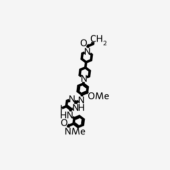 C=CC(=O)N1CCC(C2CCN(c3ccc(Nc4ncc(I)c(Nc5ccccc5C(=O)NC)n4)c(OC)c3)CC2)CC1